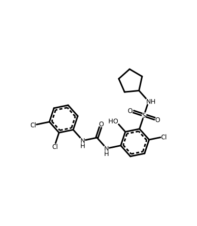 O=C(Nc1ccc(Cl)c(S(=O)(=O)NC2CCCC2)c1O)Nc1cccc(Cl)c1Cl